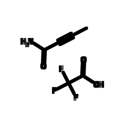 CC#CC(N)=O.O=C(O)C(F)(F)F